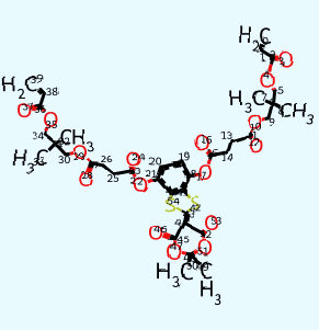 C=CC(=O)OCC(C)(C)COC(=O)CCC(=O)Oc1ccc(OC(=O)CCC(=O)OCC(C)(C)COC(=O)C=C)c2c1SC(=C1C(=O)OC(C)(C)OC1=O)S2